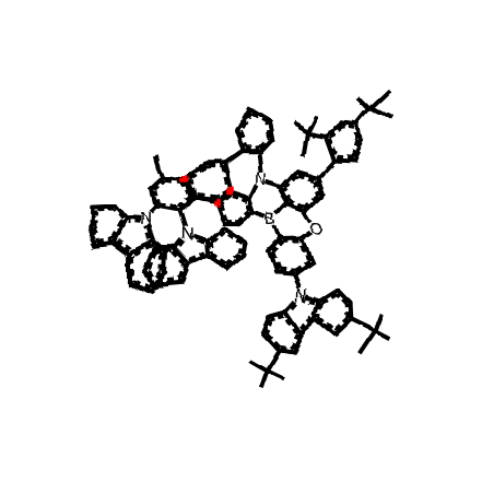 Cc1cc(-c2ccc3c(c2)N(c2ccccc2-c2ccccc2)c2cc(-c4ccc(C(C)(C)C)cc4C(C)(C)C)cc4c2B3c2ccc(-n3c5ccc(C(C)(C)C)cc5c5cc(C(C)(C)C)ccc53)cc2O4)c(-n2c3ccccc3c3ccccc32)c(-n2c3ccccc3c3ccccc32)c1